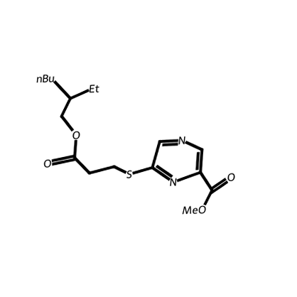 CCCCC(CC)COC(=O)CCSc1cncc(C(=O)OC)n1